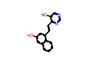 N#Cc1cncnc1/C=C/c1cc(O)cc2ccccc12